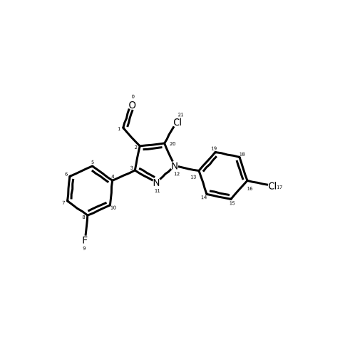 O=Cc1c(-c2cccc(F)c2)nn(-c2ccc(Cl)cc2)c1Cl